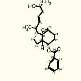 C[C@H](O)C/C=C/[C@H](C)[C@H]1CC[C@H]2[C@@H](OC(=O)c3ccccc3)CCC[C@]12C